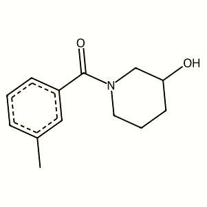 Cc1cccc(C(=O)N2CCCC(O)C2)c1